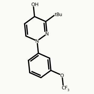 CC(C)(C)C1=NN(c2cccc(OC(F)(F)F)c2)C=CC1O